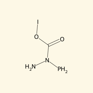 NN(P)C(=O)OI